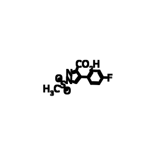 CS(=O)(=O)n1cc(-c2ccc(F)cc2)c(C(=O)O)n1